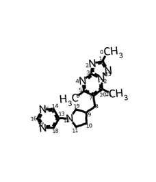 Cc1nc2nc(C)c(CC3CCN(c4cncnc4)C3)c(C)n2n1